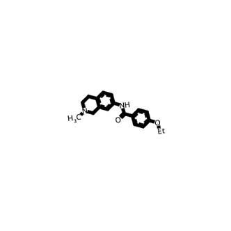 CCOc1ccc(C(=O)Nc2ccc3c(c2)CN(C)CC3)cc1